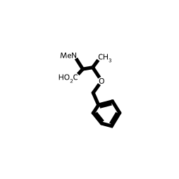 CNC(C(=O)O)C(C)OCc1ccccc1